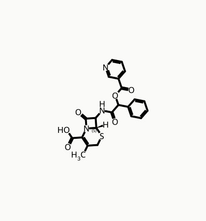 CC1=C(C(=O)O)N2C(=O)C(NC(=O)C(OC(=O)c3cccnc3)c3ccccc3)[C@@H]2SC1